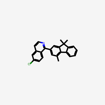 Cc1cc(-c2nccc3cc(Cl)ccc23)cc2c1-c1ccccc1C2(C)C